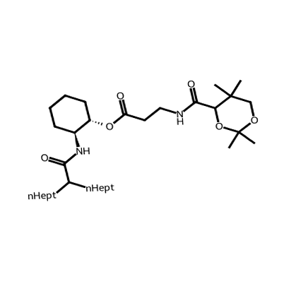 CCCCCCCC(CCCCCCC)C(=O)N[C@H]1CCCC[C@@H]1OC(=O)CCNC(=O)C1OC(C)(C)OCC1(C)C